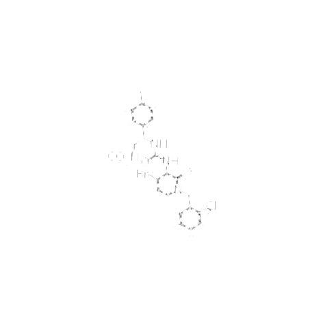 Cc1ccc([C@H](CC(=O)O)NC(=O)Nc2c(Br)ccn(Cc3ccccc3Cl)c2=O)cc1